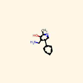 Cc1ncc(-c2ccccc2)c(CN)c1O